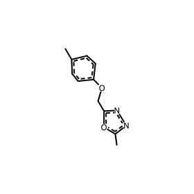 Cc1ccc(OCc2nnc(C)o2)cc1